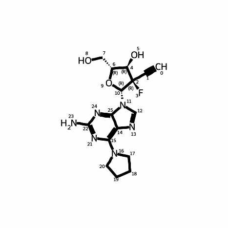 C#C[C@@]1(F)[C@H](O)[C@@H](CO)O[C@H]1n1cnc2c(N3CCCC3)nc(N)nc21